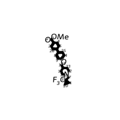 COC(=O)c1ccc(-c2ccc(OCC3CCN(CC4(C(F)(F)F)CC4)CC3)cc2)cc1